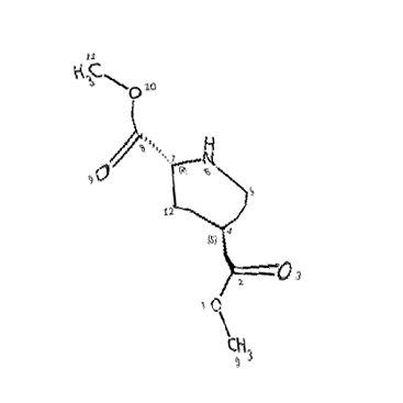 COC(=O)[C@@H]1CN[C@@H](C(=O)OC)C1